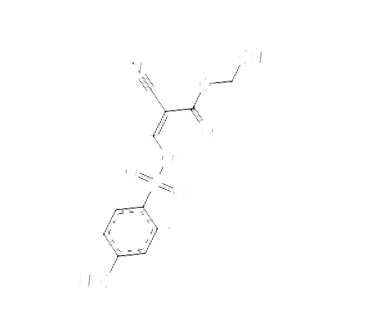 CCOC(=O)/C(C#N)=C\OS(=O)(=O)c1ccc(C)cc1